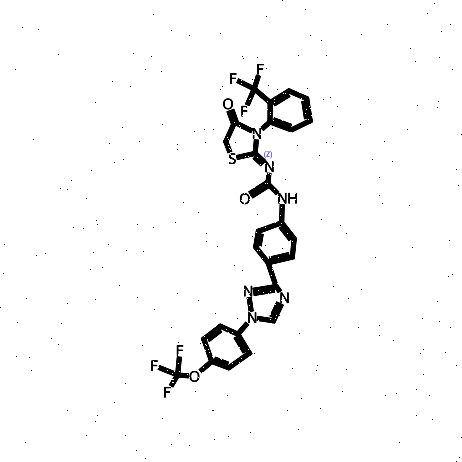 O=C(/N=C1\SCC(=O)N1c1ccccc1C(F)(F)F)Nc1ccc(-c2ncn(-c3ccc(OC(F)(F)F)cc3)n2)cc1